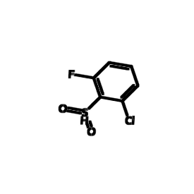 O=[SH](=O)c1c(F)cccc1Cl